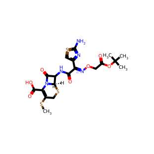 CSC1=C(C(=O)O)N2C(=O)C(NC(=O)/C(=N/OCC(=O)OC(C)(C)C)c3csc(N)n3)[C@H]2SC1